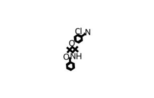 CC1(C)[C@H](NC(=O)c2ccccc2)C(C)(C)[C@H]1Oc1ccc(C#N)c(Cl)c1